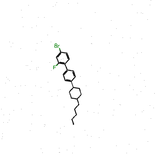 CCCCCC1CCC(c2ccc(-c3ccc(Br)cc3F)cc2)CC1